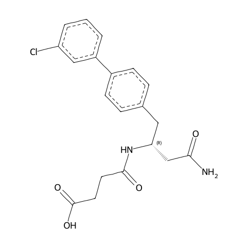 NC(=O)C[C@@H](Cc1ccc(-c2cccc(Cl)c2)cc1)NC(=O)CCC(=O)O